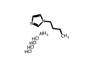 CCCCn1ccnc1.Cl.Cl.Cl.Cl.[AlH3]